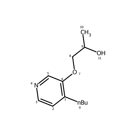 CCCCc1ccncc1OCC(C)O